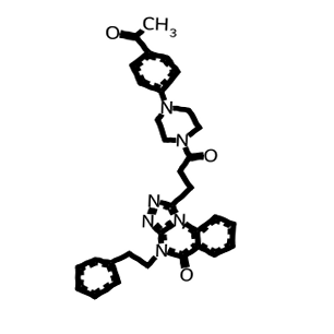 CC(=O)c1ccc(N2CCN(C(=O)CCc3nnc4n(CCc5ccccc5)c(=O)c5ccccc5n34)CC2)cc1